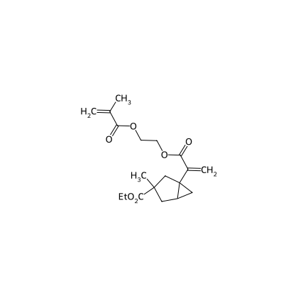 C=C(C)C(=O)OCCOC(=O)C(=C)C12CC1CC(C)(C(=O)OCC)C2